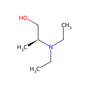 CCN(CC)[C@@H](C)CO